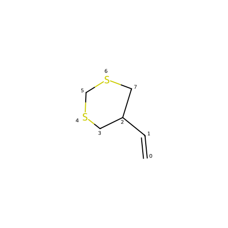 C=CC1CSCSC1